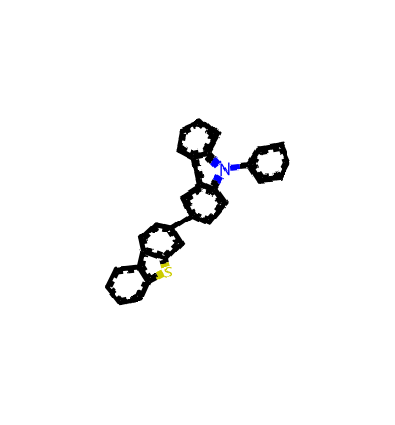 c1ccc(-n2c3ccccc3c3cc(-c4ccc5c(c4)sc4ccccc45)ccc32)cc1